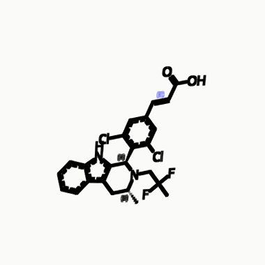 C[C@@H]1Cc2c([nH]c3ccccc23)[C@@H](c2c(Cl)cc(/C=C/C(=O)O)cc2Cl)N1CC(C)(F)F